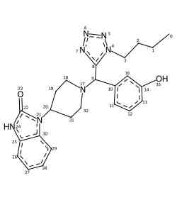 CCCCn1nnnc1C(c1cccc(O)c1)N1CCC(n2c(=O)[nH]c3ccccc32)CC1